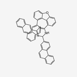 c1ccc2cc(C3=NC(c4ccc5c(ccc6ccccc65)c4)NC(c4cccc5oc6cccc(-c7ccc8ccccc8c7)c6c45)=N3)ccc2c1